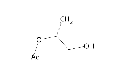 CC(=O)O[C@H](C)CO